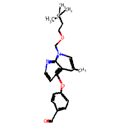 Cc1cn(COCC[Si](C)(C)C)c2nccc(Oc3ccc(C=O)cc3)c12